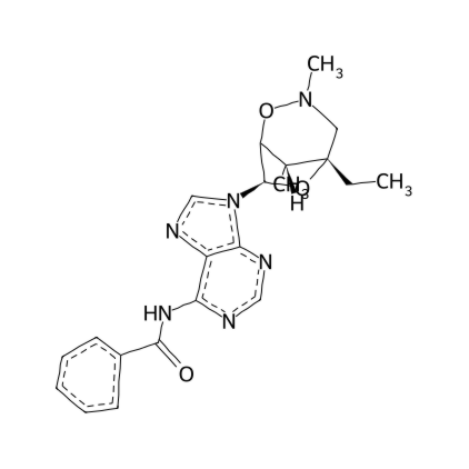 CC[C@@]12CN(C)OC([C@H](n3cnc4c(NC(=O)c5ccccc5)ncnc43)O1)[C@H]2C